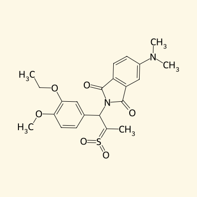 CCOc1cc(C(C(C)=S(=O)=O)N2C(=O)c3ccc(N(C)C)cc3C2=O)ccc1OC